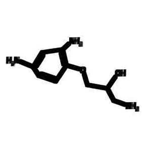 NCC(O)COc1ccc(N)cc1N